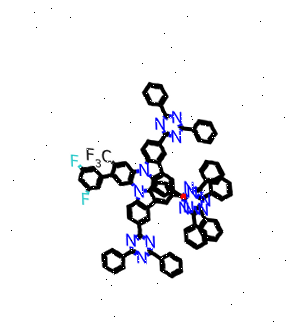 Fc1cc(F)cc(-c2cc(-n3c4ccc(-c5nc(-c6ccccc6)nc(-c6ccccc6)n5)cc4c4cc(-c5nc(-c6ccccc6)nc(-c6ccccc6)n5)ccc43)c(-n3c4ccc(-c5nc(-c6ccccc6)nc(-c6ccccc6)n5)cc4c4cc(-c5nc(-c6ccccc6)nc(-c6ccccc6)n5)ccc43)cc2C(F)(F)F)c1